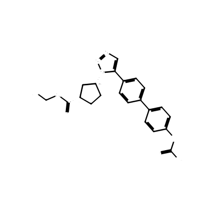 CCNC(=O)[C@H]1CC[C@@H](n2nncc2-c2ccc(-c3ccc(OC(=O)O)cc3)cc2)C1